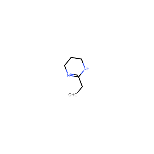 O=[C]CC1=NCCCN1